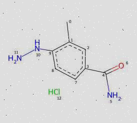 Cc1cc(C(N)=O)ccc1NN.Cl